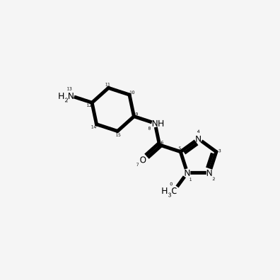 Cn1ncnc1C(=O)NC1CCC(N)CC1